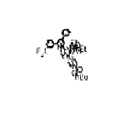 CCCCOC(=O)N1CCN(C(=O)[C@H](CP(=O)(OCC)OCC)NC(=O)c2cc(-c3ccccc3)cc(-c3cccc(C(F)(F)F)c3)n2)CC1